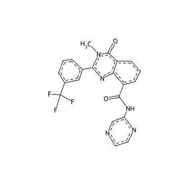 Cn1c(-c2cccc(C(F)(F)F)c2)nc2c(C(=O)Nc3cnccn3)cccc2c1=O